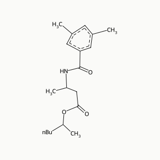 CCCCC(C)OC(=O)CC(C)NC(=O)c1cc(C)cc(C)c1